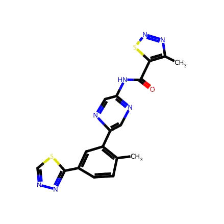 Cc1ccc(-c2nncs2)cc1-c1cnc(NC(=O)c2snnc2C)cn1